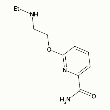 CCNCCOc1cccc(C(N)=O)n1